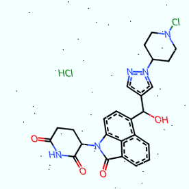 Cl.O=C1CCC(N2C(=O)c3cccc4c(C(O)c5cnn(C6CCN(Cl)CC6)c5)ccc2c34)C(=O)N1